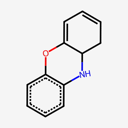 C1=CCC2Nc3ccccc3OC2=C1